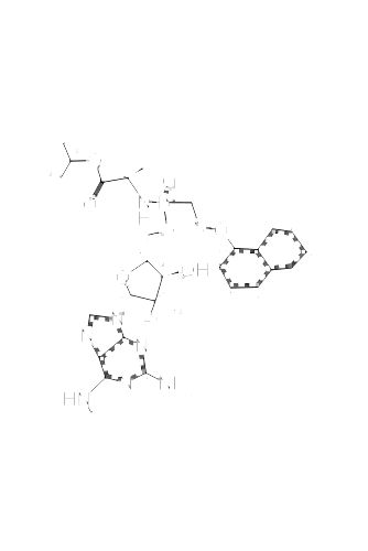 CNc1nc(N)nc2c1ncn2[C@@H]1O[C@H](COP(=O)(CSOc2cccc3ccccc23)N[C@H](C)C(=O)OC(C)C)[C@@H](O)[C@@]1(C)F